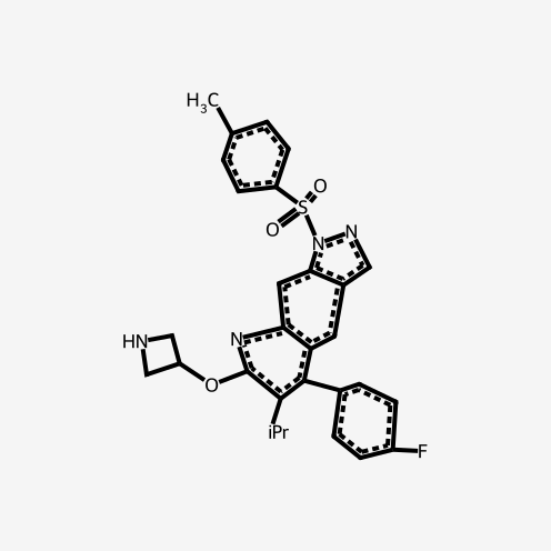 Cc1ccc(S(=O)(=O)n2ncc3cc4c(-c5ccc(F)cc5)c(C(C)C)c(OC5CNC5)nc4cc32)cc1